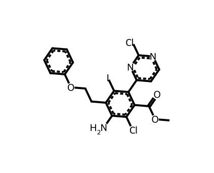 COC(=O)c1c(Cl)c(N)c(CCOc2ccccc2)c(I)c1-c1ccnc(Cl)n1